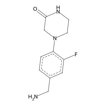 NCc1ccc(N2CCNC(=O)C2)c(F)c1